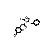 O=C(Cc1ccc(Cl)cc1F)N1C(=O)OC[C@@H]1Cc1ccccc1